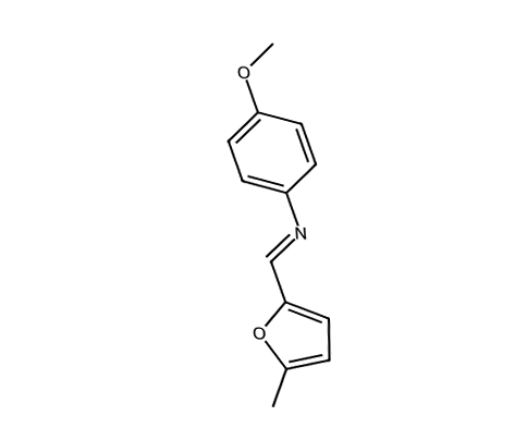 COc1ccc(N=Cc2ccc(C)o2)cc1